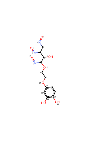 O=NCC(N=O)C(O)C(N=O)OCCOc1ccc(O)c(O)c1